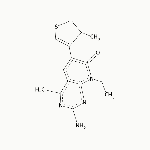 CCn1c(=O)c(C2=CSCC2C)cc2c(C)nc(N)nc21